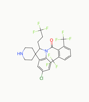 O=C(c1c(C(F)(F)F)cccc1C(F)(F)F)N1c2ccc(Cl)cc2C2(CCNCC2)C1CCC(F)(F)F